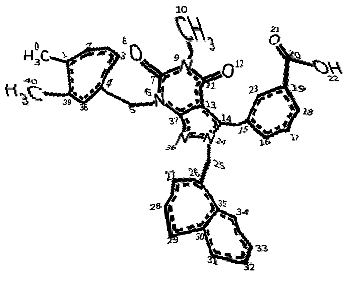 Cc1ccc(Cn2c(=O)n(C)c(=O)c3c(-c4cccc(C(=O)O)c4)n(Cc4cccc5ccccc45)nc32)cc1C